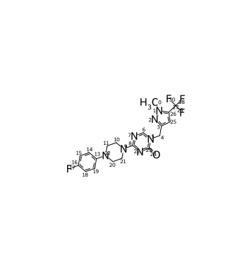 Cn1nc(Cn2cnc(N3CCN(c4ccc(F)cc4)CC3)nc2=O)cc1C(F)(F)F